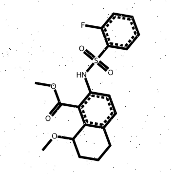 COC(=O)c1c(NS(=O)(=O)c2ccccc2F)ccc2c1C(OC)CCC2